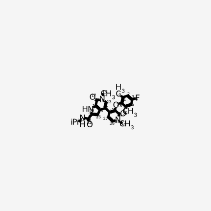 Cc1cc(F)cc(C)c1Oc1c(-c2cn(C)c(=O)c3[nH]c(C(=O)NC(C)C)cc23)ccn(C)c1=O